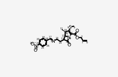 C=CCOC(=O)C1=C(SC)[C@H](C)C2C(CCN=Cc3ccc([N+](=O)[O-])cc3)C(=O)N12